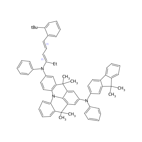 CC/C(=C\C=C\c1ccccc1C(C)(C)C)N(c1ccccc1)c1ccc2c(c1)C(C)(C)c1cc(N(c3ccccc3)c3ccc4c(c3)C(C)(C)c3ccccc3-4)cc3c1N2c1ccccc1C3(C)C